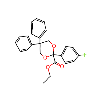 CCOC(=O)C1(c2ccc(F)cc2)OCC(c2ccccc2)(c2ccccc2)CO1